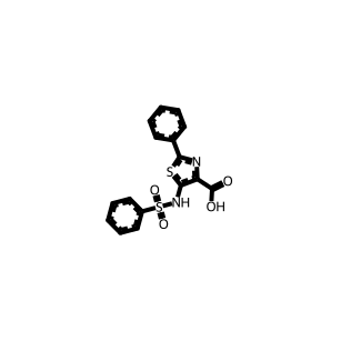 O=C(O)c1nc(-c2ccccc2)sc1NS(=O)(=O)c1ccccc1